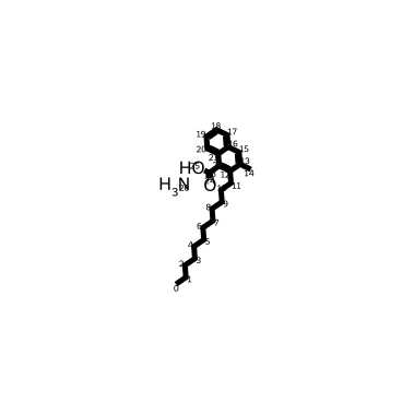 CCCCCCCCCCCCc1c(C)cc2ccccc2c1C(=O)O.N